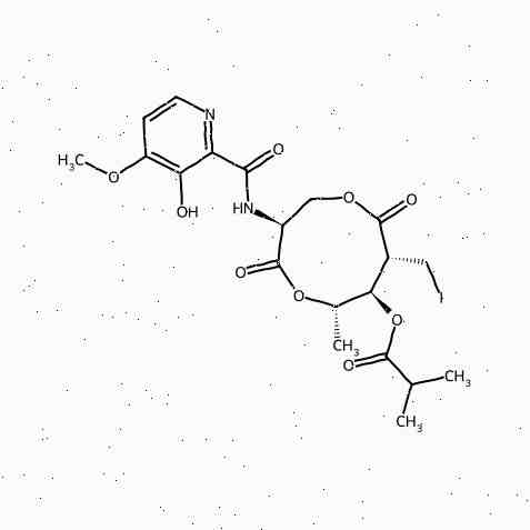 COc1ccnc(C(=O)N[C@H]2COC(=O)[C@H](CI)[C@@H](OC(=O)C(C)C)[C@H](C)OC2=O)c1O